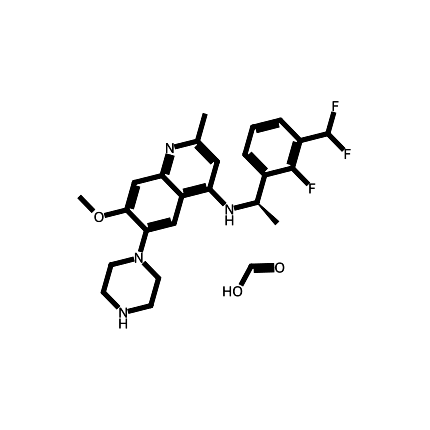 COc1cc2nc(C)cc(N[C@H](C)c3cccc(C(F)F)c3F)c2cc1N1CCNCC1.O=CO